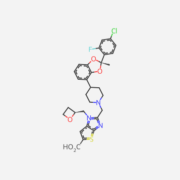 C[C@]1(c2ccc(Cl)cc2F)Oc2cccc(C3CCN(Cc4nc5sc(C(=O)O)cc5n4C[C@@H]4CCO4)CC3)c2O1